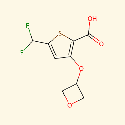 O=C(O)c1sc(C(F)F)cc1OC1COC1